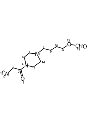 NCC(=O)N1CCN(CCCCOC=O)CC1